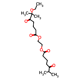 CCOC(C)(C)C(=O)CCCC(=O)OCCOC(=O)CCCC(=O)C(C)C